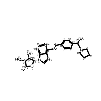 C[C@H]1O[C@@H](n2cnc3c(SCc4ccc(C(O)N5CCCC5)cc4)ncnc32)[C@H](O)[C@@H]1O